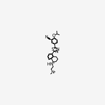 CC(C)Oc1ccc(-c2nnc(-c3cccc4c3CCC[C@@H]4NCCN(C)C)s2)cc1C#N